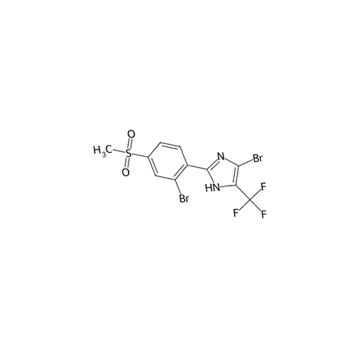 CS(=O)(=O)c1ccc(-c2nc(Br)c(C(F)(F)F)[nH]2)c(Br)c1